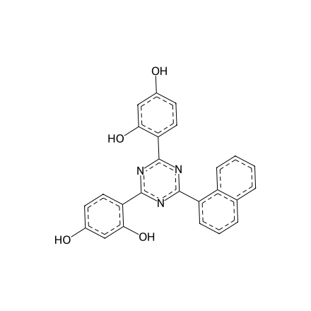 Oc1ccc(-c2nc(-c3ccc(O)cc3O)nc(-c3cccc4ccccc34)n2)c(O)c1